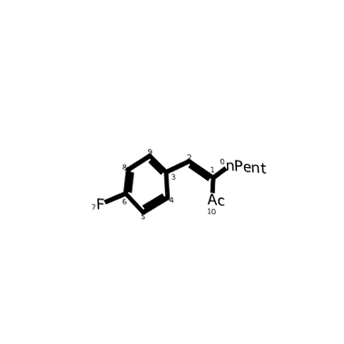 CCCCCC(=Cc1ccc(F)cc1)C(C)=O